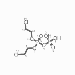 O=P(O)(O)OP(=O)(OCCCl)OCCCl